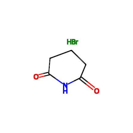 Br.O=C1CCCC(=O)N1